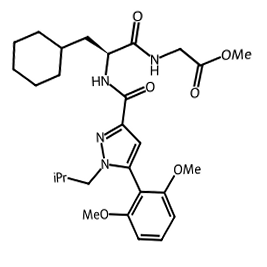 COC(=O)CNC(=O)[C@H](CC1CCCCC1)NC(=O)c1cc(-c2c(OC)cccc2OC)n(CC(C)C)n1